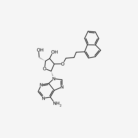 Nc1ncnc2c1ncn2[C@@H]1O[C@H](CO)C(O)C1OCCCc1cccc2ccccc12